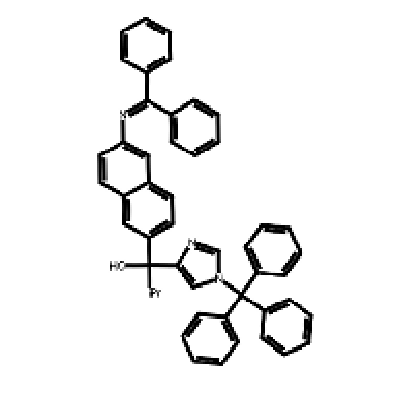 CC(C)C(O)(c1ccc2cc(N=C(c3ccccc3)c3ccccc3)ccc2c1)c1cn(C(c2ccccc2)(c2ccccc2)c2ccccc2)cn1